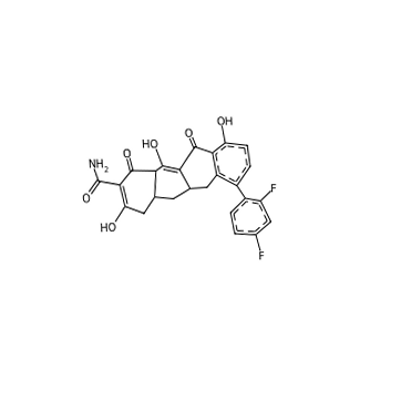 NC(=O)C1=C(O)CC2CC3Cc4c(-c5ccc(F)cc5F)ccc(O)c4C(=O)C3=C(O)C2C1=O